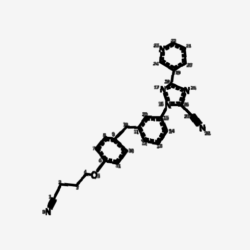 N#CCCCOc1ccc(Cc2[c]ccc(-n3nc(-c4cccnc4)nc3C#N)c2)cc1